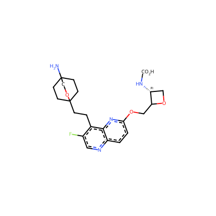 NC12CCC(CCc3c(F)cnc4ccc(OCC5OC[C@H]5NC(=O)O)nc34)(CC1)OC2